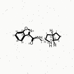 O=C(NC[C@@H]1C[C@@H]2CCC[C@@H]2N1)c1noc2ccccc12